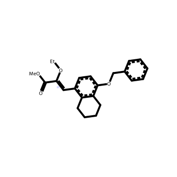 CCO/C(=C\c1ccc(OCc2ccccc2)c2c1CCCC2)C(=O)OC